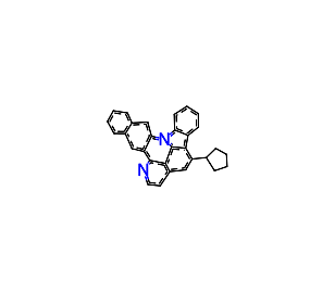 c1ccc2cc3c(cc2c1)c1nccc2cc(C4CCCC4)c4c5ccccc5n3c4c21